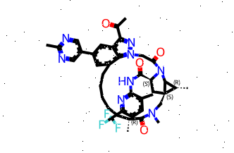 CC(=O)c1nn2c3c(cc(-c4cnc(C)nc4)cc13)CCCCC[C@@H](C)C(=O)N(C)C[C@@]13C[C@@H](C(=O)Nc4nc(C(F)(F)F)ccc4C)N(C(=O)C2)C1[C@@H]3C